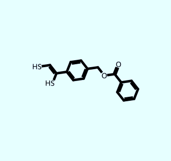 O=C(OCc1ccc(C(S)=CS)cc1)c1ccccc1